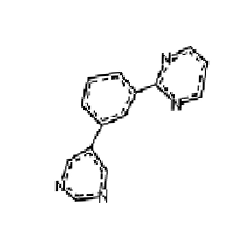 c1cnc(-c2cccc(-c3cncnc3)c2)nc1